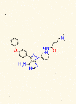 CN(C)C/C=C/C(=O)NN1CCC=C(n2nc(-c3ccc(Oc4ccccc4)cc3)c3c(N)ncnc32)C1